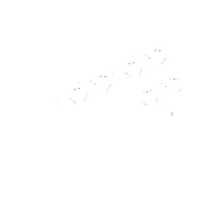 [2H]N1C=CC=CC1([2H])c1ccc(F)cc1F.[2H]N1C=CC=CC1([2H])c1ccc(F)cc1F.[2H]N1C=CC=CC1([2H])c1ccc(F)cc1F.[Ir]